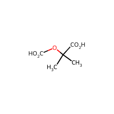 CC(C)(OC(=O)O)C(=O)O